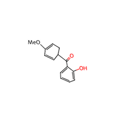 COC1=CCC(C(=O)c2ccccc2O)C=C1